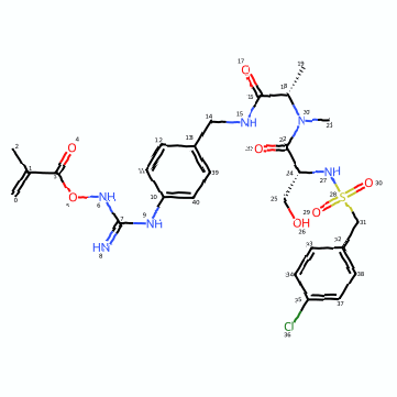 C=C(C)C(=O)ONC(=N)Nc1ccc(CNC(=O)[C@H](C)N(C)C(=O)[C@@H](CO)NS(=O)(=O)Cc2ccc(Cl)cc2)cc1